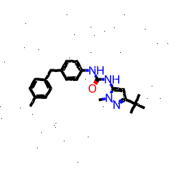 Cc1ccc(Cc2ccc(NC(=O)Nc3cc(C(C)(C)C)nn3C)cc2)cc1